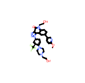 COc1ccc(-c2ccc3c(c2)c2c(nnn2-c2ccc(N4CCN(CCO)CC4)c(C(F)(F)F)c2)c(=O)n3CCO)cn1